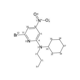 CCCN(c1cc([N+](=O)[O-])cc(Br)n1)C1CCCCC1